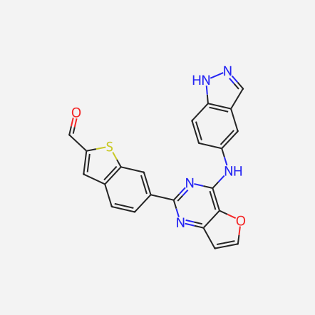 O=Cc1cc2ccc(-c3nc(Nc4ccc5[nH]ncc5c4)c4occc4n3)cc2s1